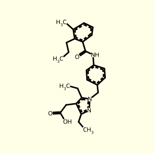 CCCc1c(C)cccc1C(=O)Nc1ccc(Cn2nc(CC)c(CC(=O)O)c2CC)cc1